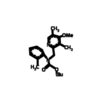 COc1c(C)cnc(CN(C(=O)OC(C)(C)C)c2ccccc2C)c1C